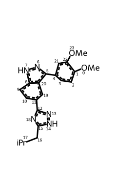 COc1ccc(-c2n[nH]c3ccc(-c4n[nH]c(CC(C)C)n4)cc23)cc1OC